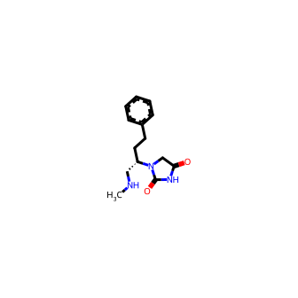 CNC[C@H](CCc1ccccc1)N1CC(=O)NC1=O